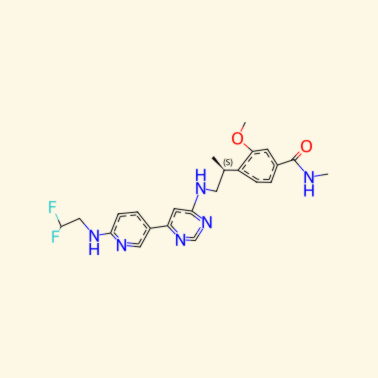 CNC(=O)c1ccc([C@H](C)CNc2cc(-c3ccc(NCC(F)F)nc3)ncn2)c(OC)c1